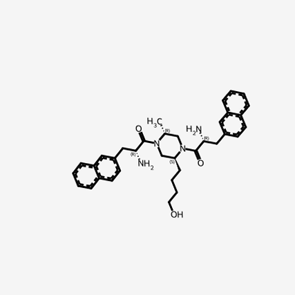 C[C@@H]1CN(C(=O)[C@H](N)Cc2ccc3ccccc3c2)[C@@H](CCCCO)CN1C(=O)[C@H](N)Cc1ccc2ccccc2c1